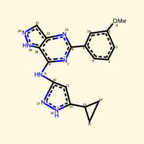 COc1cccc(-c2nc(Nc3cc(C4CC4)[nH]n3)c3[nH]ncc3n2)c1